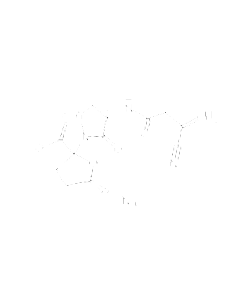 C=C(C#N)CC(=S)N[C@H]1CON(C2(C(=O)[O-])CCC(=O)O2)C1=O.[Na+]